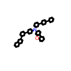 c1ccc(-c2ccc(-c3cccc(N(c4ccc(-c5cccc(-c6ccc7ccccc7c6)c5)cc4)c4ccc5c(c4)oc4ccccc45)c3)cc2)cc1